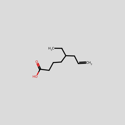 C=CCC([CH]C)CCCC(=O)O